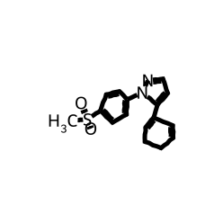 CS(=O)(=O)c1ccc(-n2nccc2C2=CCCC=C2)cc1